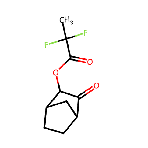 CC(F)(F)C(=O)OC1C(=O)C2CCC1C2